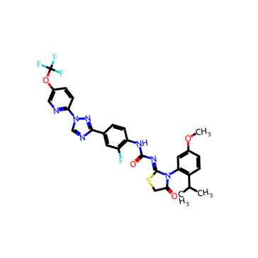 COc1ccc(C(C)C)c(N2C(=O)CS/C2=N\C(=O)Nc2ccc(-c3ncn(-c4ccc(OC(F)(F)F)cn4)n3)cc2F)c1